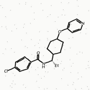 CC[C@H](NC(=O)c1ccc(Cl)cc1)C1CCC(Oc2ccncc2)CC1